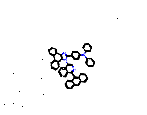 c1ccc(N(c2ccccc2)c2ccc(-c3nc4c5ccccc5c5ccccc5c4n3-c3cnc(-c4c5ccccc5cc5ccccc45)c4ccccc34)cc2)cc1